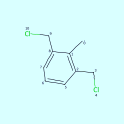 [CH2]c1c(CCl)cccc1CCl